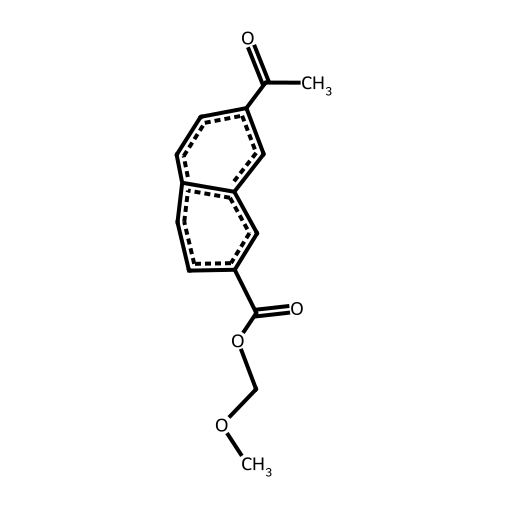 COCOC(=O)c1ccc2ccc(C(C)=O)cc2c1